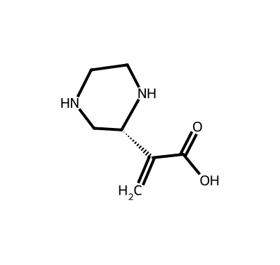 C=C(C(=O)O)[C@@H]1CNCCN1